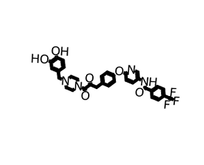 O=C(Cc1ccc(Oc2ccc(NC(=O)c3ccc(C(F)(F)F)cc3)cn2)cc1)C(=O)N1CCN(Cc2ccc(O)c(O)c2)CC1